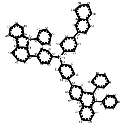 c1ccc(-c2c(-c3ccccc3)c3cc(-c4ccc(N(c5ccc(-c6ccc7ccccc7c6)cc5)c5ccc(-c6cccc7c8ccccc8n(-c8ccccc8)c67)cc5)cc4)ccc3c3ccccc23)cc1